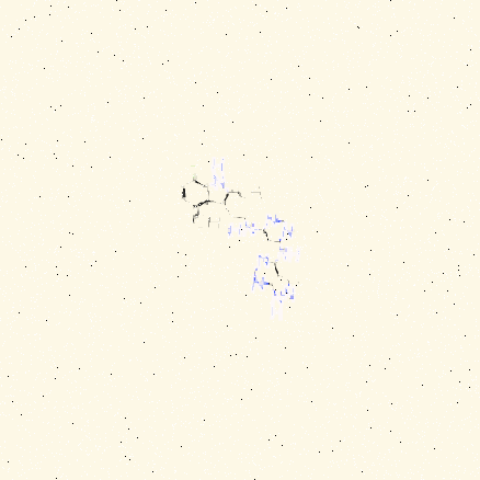 Cc1[nH]c2c(F)ccc(C)c2c1CCNc1cc(Nc2ncnc3[nH]ncc23)ncn1